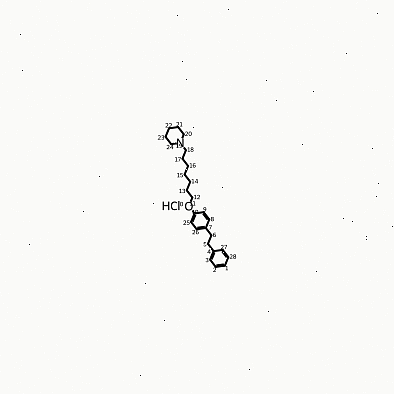 Cl.c1ccc(CCc2ccc(OCCCCCCCN3CCCCC3)cc2)cc1